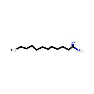 CCCCCCCCCCCC(=N)N